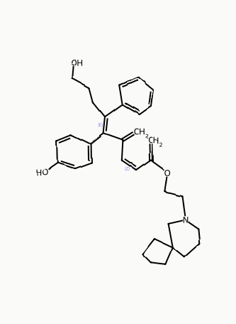 C=C(/C=C\C(=C)/C(=C(/CCCO)c1ccccc1)c1ccc(O)cc1)OCCN1CCCC2(CCCC2)C1